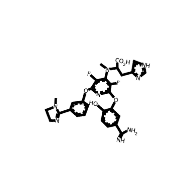 CN1CCN=C1c1cccc(Oc2nc(Oc3cc(C(=N)N)ccc3O)c(F)c(N(C)C(Cc3c[nH]cn3)C(=O)O)c2F)c1